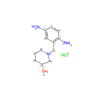 Cl.Nc1ccc(N)c(CN2CCCC(O)C2)c1